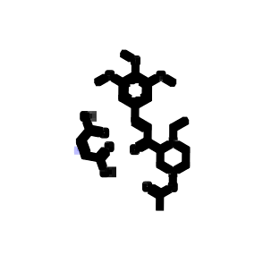 CCN1CCN(OC(C)=O)CC1C(=O)C=Cc1cc(OC)c(OC)c(OC)c1.O=C(O)/C=C\C(=O)O